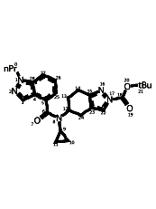 CCCn1ncc2c(C(=O)N(C3CC3)C3CCc4nn(C(=O)OC(C)(C)C)cc4C3)cccc21